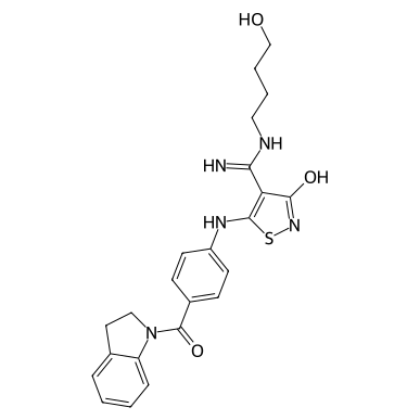 N=C(NCCCCO)c1c(O)nsc1Nc1ccc(C(=O)N2CCc3ccccc32)cc1